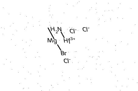 [CH3][Mg][Br].[Cl-].[Cl-].[Cl-].[NH2][Hf+3]